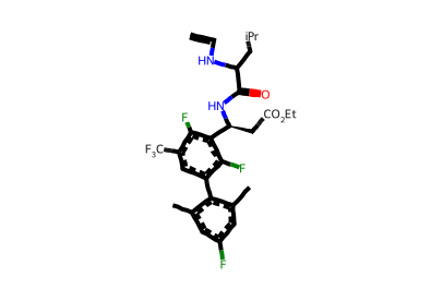 C=CNC(CC(C)C)C(=O)N[C@@H](CC(=O)OCC)c1c(F)c(-c2c(C)cc(F)cc2C)cc(C(F)(F)F)c1F